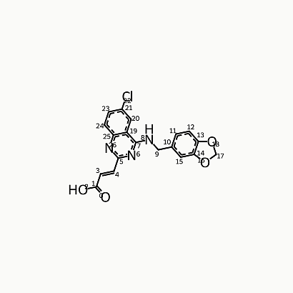 O=C(O)C=Cc1nc(NCc2ccc3c(c2)OCO3)c2cc(Cl)ccc2n1